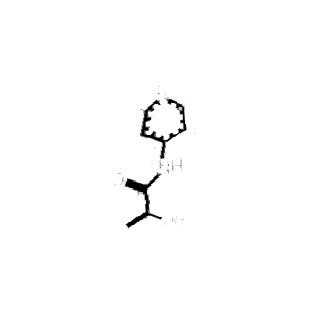 C=C(O)C(=O)Nc1ccncc1